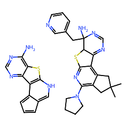 CC1(C)Cc2c(N3CCCC3)nc3c(c2C1)C1=NC=NC(N)(Cc2cccnc2)C1S3.Nc1ncnc2c1sc1[nH]cc3cccc-3c12